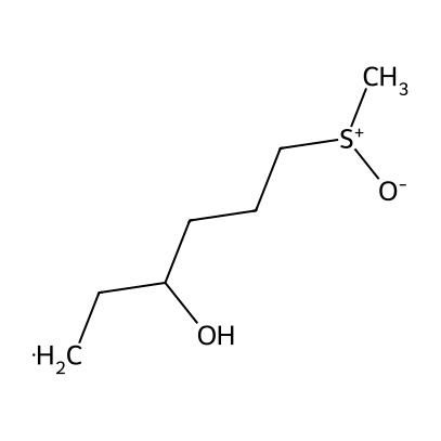 [CH2]CC(O)CCC[S+](C)[O-]